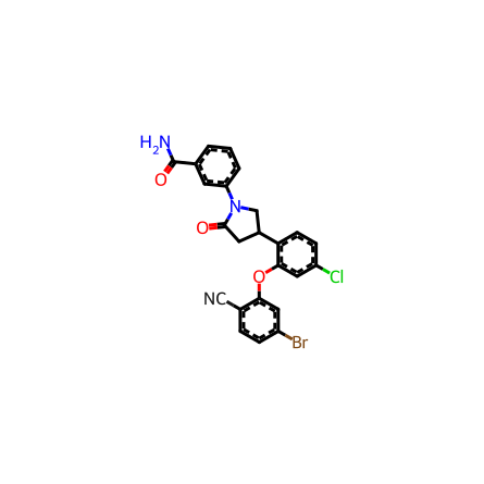 N#Cc1ccc(Br)cc1Oc1cc(Cl)ccc1C1CC(=O)N(c2cccc(C(N)=O)c2)C1